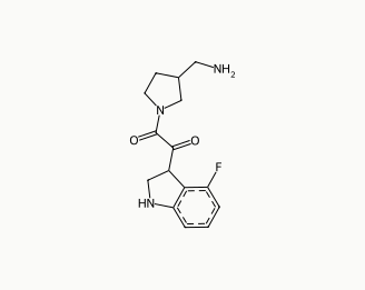 NCC1CCN(C(=O)C(=O)C2CNc3cccc(F)c32)C1